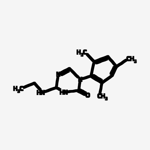 CCNC1N=CN(c2c(C)cc(C)cc2C)C(=O)N1